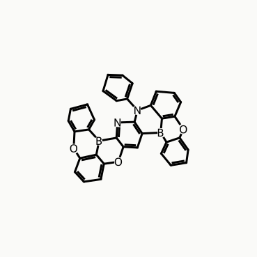 c1ccc(N2c3cccc4c3B(c3ccccc3O4)c3cc4c(nc32)B2c3ccccc3Oc3cccc(c32)O4)cc1